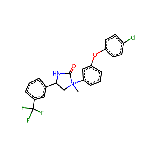 C[N+]1(c2cccc(Oc3ccc(Cl)cc3)c2)CC(c2cccc(C(F)(F)F)c2)NC1=O